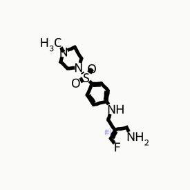 CN1CCN(S(=O)(=O)c2ccc(NC/C(=C/F)CN)cc2)CC1